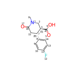 CN1C[C@@H](C(=O)O)[C@H](c2ccc(F)cc2)CC1=O